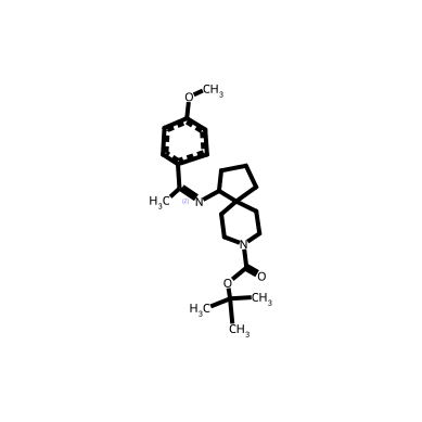 COc1ccc(/C(C)=N\C2CCCC23CCN(C(=O)OC(C)(C)C)CC3)cc1